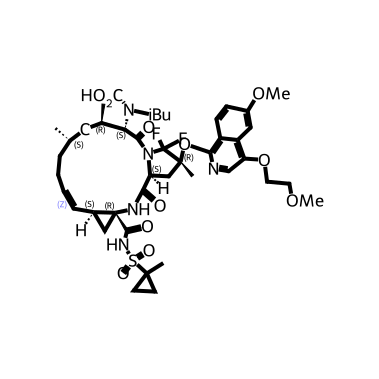 CCC(C)N(C(=O)O)[C@@H]1C(=O)N2[C@@H](C[C@@](C)(Oc3ncc(OCCOC)c4cc(OC)ccc34)C2(F)F)C(=O)N[C@]2(C(=O)NS(=O)(=O)C3(C)CC3)C[C@H]2/C=C\CC[C@H](C)C[C@H]1C